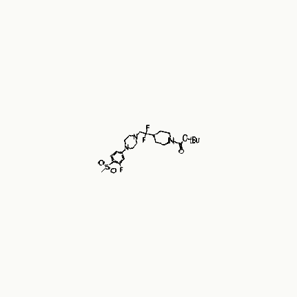 CC(C)(C)OC(=O)N1CCC(C(F)(F)CN2CCN(c3ccc(S(C)(=O)=O)c(F)c3)CC2)CC1